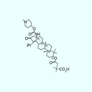 CC(C)C1=C2C3CCC4[C@@]5(C)CC[C@H](OC(=O)CC(C)(C)C(=O)O)C(C)(C)C5CC[C@@]4(C)[C@]3(C)CC[C@@]2(NC(=O)OC2CCN(C)CC2)CC1=O